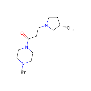 CC(C)N1CCN(C(=O)CCN2CC[C@H](C)C2)CC1